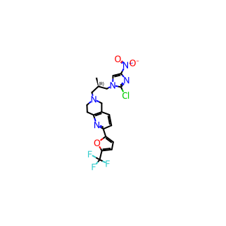 C[C@H](CN1CCc2nc(-c3ccc(C(F)(F)F)o3)ccc2C1)Cn1cc([N+](=O)[O-])nc1Cl